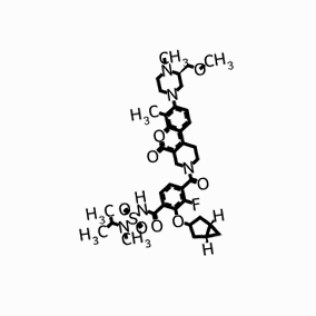 COC[C@H]1CN(c2ccc3c4c(c(=O)oc3c2C)CN(C(=O)c2ccc(C(=O)NS(=O)(=O)N(C)C(C)C)c(OC3C[C@@H]5C[C@@H]5C3)c2F)CC4)CCN1C